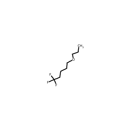 CC[CH]OCCCCC(F)(F)F